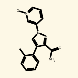 Cc1ccccc1-c1cn(-c2ccc[n+]([O-])c2)nc1C(N)=O